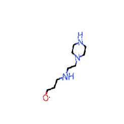 [O]CCCNCCN1CCNCC1